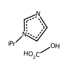 CC(C)n1ccnc1.O=C(O)O